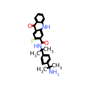 CC(C)(N)c1ccc(C(C)(C)NC(=O)c2cc3[nH]c4ccccc4c(=O)c3cc2F)cc1